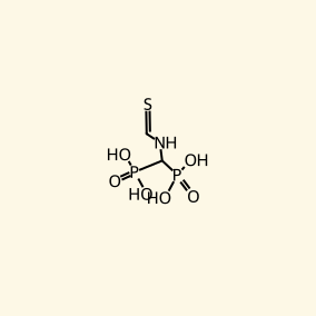 O=P(O)(O)C(NC=S)P(=O)(O)O